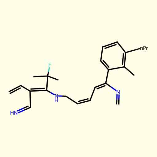 C=C/C(C=N)=C(/NC/C=C\C=C(/N=C)c1cccc(CCC)c1C)C(C)(C)F